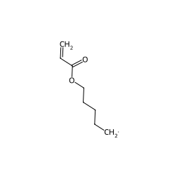 [CH2]CCCCOC(=O)C=C